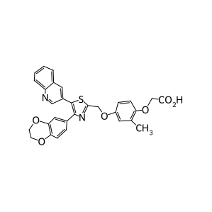 Cc1cc(OCc2nc(-c3ccc4c(c3)OCCO4)c(-c3cnc4ccccc4c3)s2)ccc1OCC(=O)O